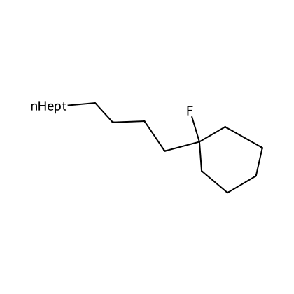 CCCCCCCCCCCC1(F)CCCCC1